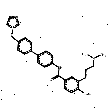 COc1ccc(C(=O)Nc2ccc(-c3ccc(Cn4ccnc4)cc3)cc2)cc1CCCN(C)C